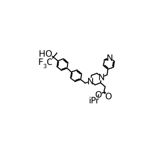 CC(C)OC(=O)CC1CN(Cc2ccc(-c3ccc(C(C)(O)C(F)(F)F)cc3)cc2)CCN1Cc1ccncc1